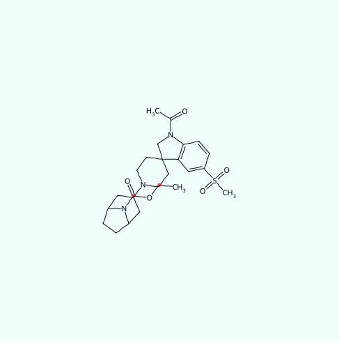 CCOC(=O)N1C2CCC1CC(N1CCC3(CC1)CN(C(C)=O)c1ccc(S(C)(=O)=O)cc13)C2